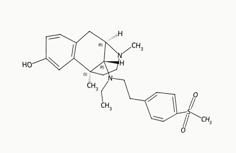 CCN(CCc1ccc(S(C)(=O)=O)cc1)[C@H]1[C@H]2Cc3ccc(O)cc3[C@]1(C)CCN2C